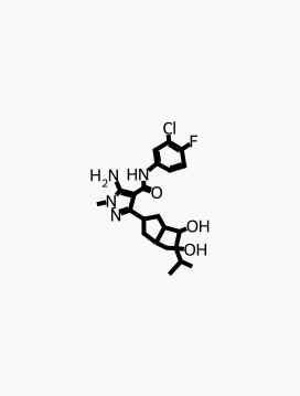 CC(C)C1(O)CC2CC(c3nn(C)c(N)c3C(=O)Nc3ccc(F)c(Cl)c3)CC2C1O